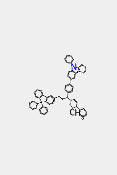 CC1CC(C(CCc2ccc3c(c2)-c2ccccc2C3(c2ccccc2)c2ccccc2)c2ccc(-c3ccc4c(c3)c3ccccc3n4-c3ccccc3)cc2)C=CC1c1ccccc1